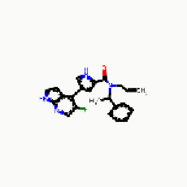 C=CCN(C(=O)c1cc(-c2c(F)cnc3[nH]ccc23)c[nH]1)C(C)c1ccccc1